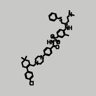 Cc1cc(S(=O)(=O)NC(=O)c2ccc(N3CCN(CC4=C(c5ccc(Cl)cc5)CCC(C)(C)C4)CC3)cc2)ccc1N[C@H](CCN(C)C)CSc1ccccc1